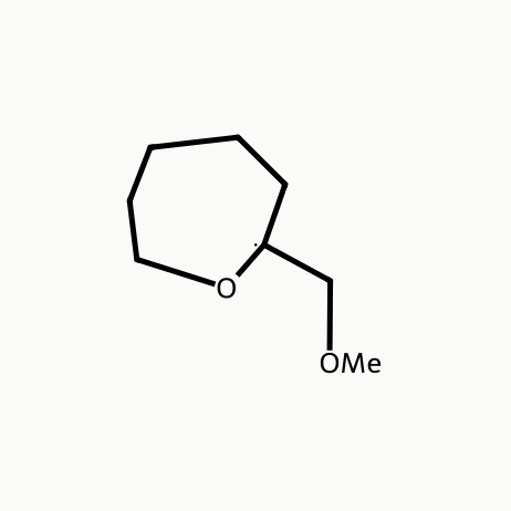 COC[C]1CCCCCO1